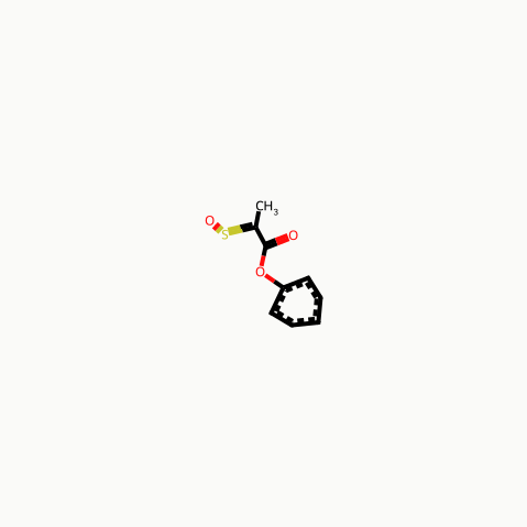 CC(=S=O)C(=O)Oc1ccccc1